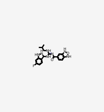 CC(C)CN/C(=N/C(=O)c1ccc2c(c1)NON2)NC1NNc2cc(F)ccc21